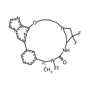 CCN1C(=O)NC2CN(CCCOc3nc(cn4ccnc34)-c3cccc(c3)[C@H]1C)CC2(F)F